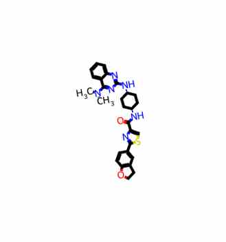 CN(C)c1nc(N[C@H]2CC[C@@H](NC(=O)c3csc(-c4ccc5c(c4)CCO5)n3)CC2)nc2ccccc12